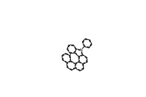 c1ccc(-n2c3cccc4c3c3c5c(ccc6ccc7cccc-4c7c65)ccc32)cc1